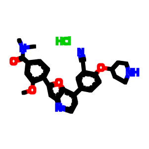 COc1cc(C(=O)N(C)C)ccc1-c1cc2nccc(-c3ccc(OC4CCNCC4)c(C#N)c3)c2o1.Cl